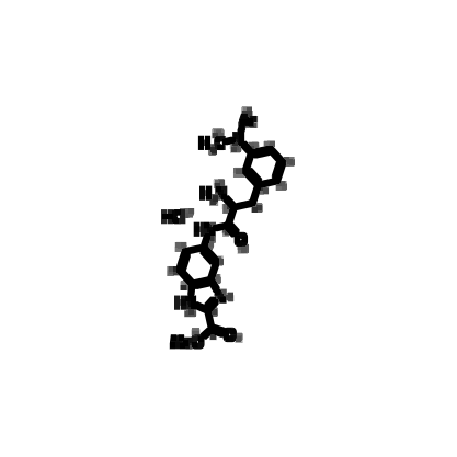 COC(=O)c1nc2cc(NC(=O)C(N)Cc3cccc(N(C)C(C)=O)c3)ccc2[nH]1.Cl